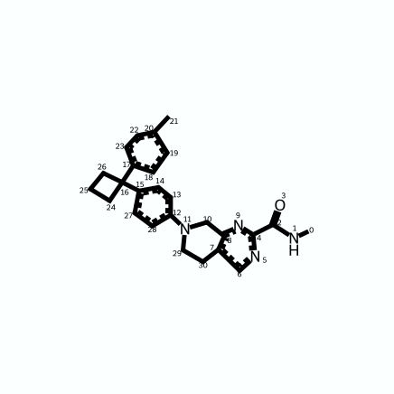 CNC(=O)c1ncc2c(n1)CN(c1ccc(C3(c4ccc(C)cc4)CCC3)cc1)CC2